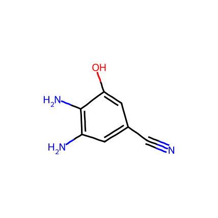 N#Cc1cc(N)c(N)c(O)c1